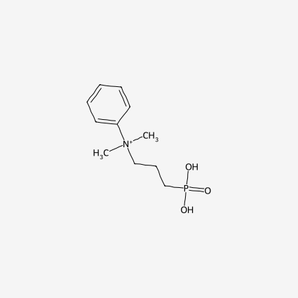 C[N+](C)(CCCP(=O)(O)O)c1ccccc1